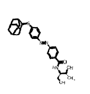 C[C@@H](O)[C@@H](CO)NC(=O)c1ccc(/N=N/c2ccc(SC3C4CC5CC(C4)CC3C5)cc2)cc1